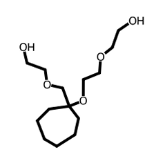 OCCOCCOC1(COCCO)CCCCCC1